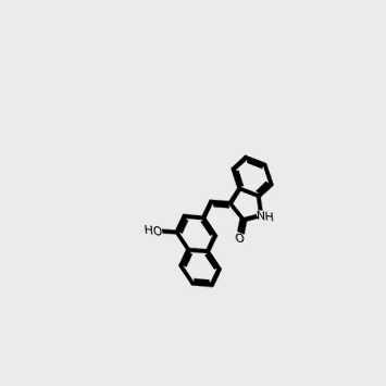 O=C1Nc2ccccc2C1=Cc1cc(O)c2ccccc2c1